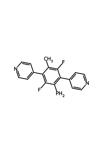 Cc1c(F)c(-c2ccncc2)c(P)c(F)c1-c1ccncc1